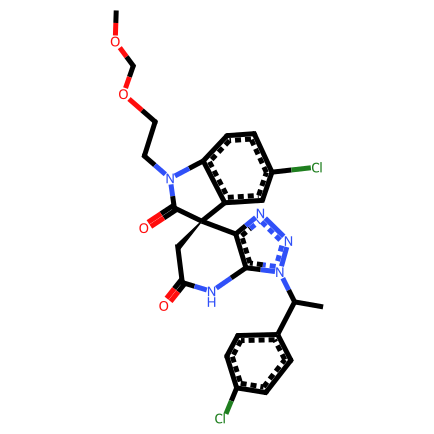 COCOCCN1C(=O)[C@]2(CC(=O)Nc3c2nnn3C(C)c2ccc(Cl)cc2)c2cc(Cl)ccc21